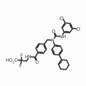 O=C(NCC(F)(F)C(=O)O)c1ccc(CN(C(=O)Nc2cc(Cl)cc(Cl)c2)c2ccc(C3=CCCCC3)cc2)cc1